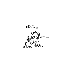 CCCCCCCCCCCC(=O)[O][Sn]([CH2]CCCCCCC)([CH2]CCCCCCC)[O][Sn]([CH2]CCCCCCC)([CH2]CCCCCCC)[O]C(=O)CCCCCCCCCCC